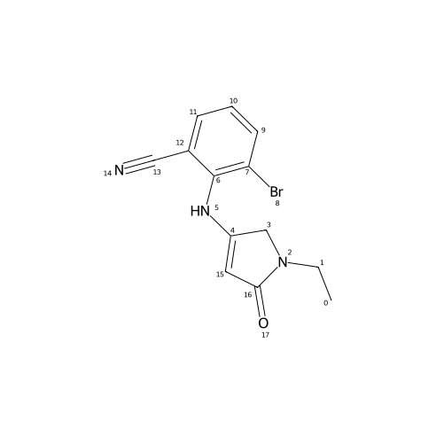 CCN1CC(Nc2c(Br)cccc2C#N)=CC1=O